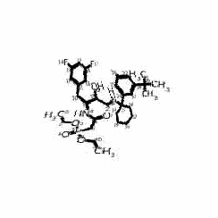 CCOP(=O)(CC(=O)NC(Cc1cc(F)cc(F)c1)C(O)CNC1(c2cccc(C(C)(C)C)c2)CCCCC1)OCC